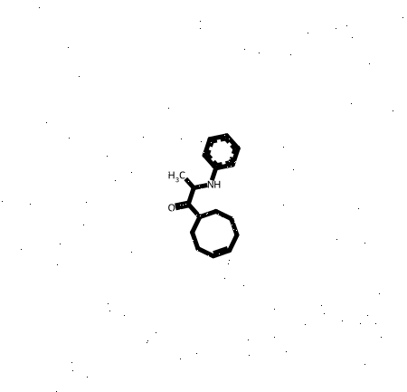 CC(Nc1ccccc1)C(=O)C1CC/C=C\CCC1